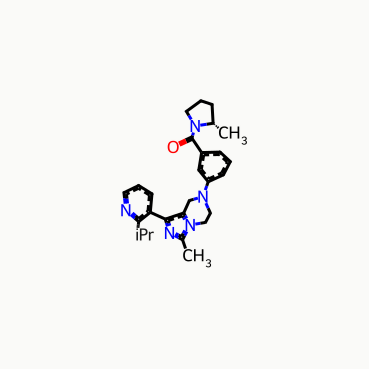 Cc1nc(-c2cccnc2C(C)C)c2n1CCN(c1cccc(C(=O)N3CCC[C@@H]3C)c1)C2